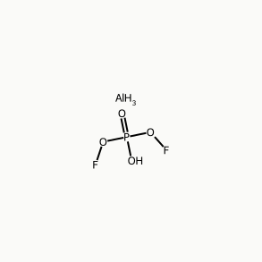 O=P(O)(OF)OF.[AlH3]